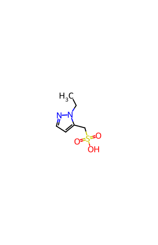 CCn1nccc1CS(=O)(=O)O